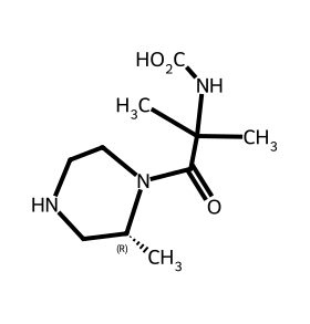 C[C@@H]1CNCCN1C(=O)C(C)(C)NC(=O)O